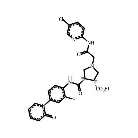 CCOC(=O)[C@H]1CN(CC(=O)Nc2ccc(Cl)cn2)C[C@@H]1C(=O)Nc1ccc(-n2ccccc2=O)cc1F